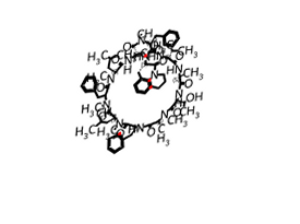 CC(C)C[C@H]1C(=O)N[C@H](C(=O)N(C)[C@@H](Cc2ccccc2)C(=O)N[C@@H](Cc2ccccc2)C(=O)N2CCCCC2)CC(=O)N[C@H](C(C)C)C(=O)N[C@@H](C)C(=O)N[C@@H](C(C)O)C(=O)N(C)[C@@H](C)C(=O)N[C@@H](Cc2ccccc2)C(=O)N(C)[C@@H](CC(C)C)C(=O)N(C)C(Cc2ccccc2)C(=O)N1C